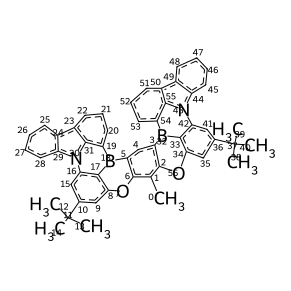 Cc1c2c(cc3c1Oc1cc(C(C)(C)C)cc4c1B3c1cccc3c5ccccc5n-4c13)B1c3c(cc(C(C)(C)C)cc3-n3c4ccccc4c4cccc1c43)O2